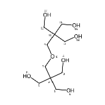 OCC(CO)(CO)COCC(CO)(CO)CO